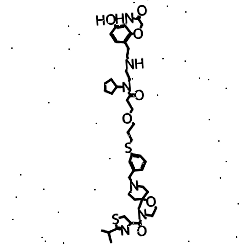 CC(C)C1=NC(C(=O)N2CCOC3(CCN(Cc4cccc(SCCCOCCC(=O)N(CCNCCc5ccc(O)c6c5OCC(=O)N6)C5CCCC5)c4)CC3)C2)CS1